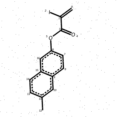 C=C(I)C(=O)Oc1ccc2cc(C)ccc2c1